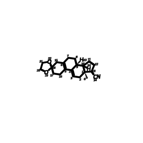 C[C@]12CC=C3C4=C(CC[C@H]3[C@@H]1CCC2C#N)CC1(CC4)OCCO1